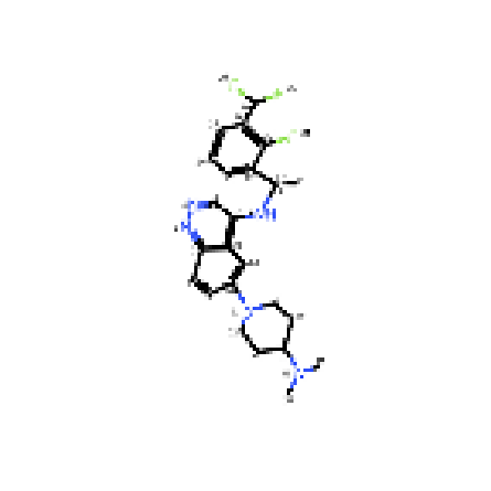 C[C@@H](Nc1cnnc2ccc(N3CCC(N(C)C)CC3)cc12)c1cccc(C(F)F)c1F